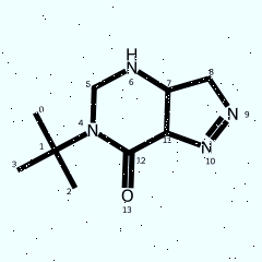 CC(C)(C)N1CNC2CN=NC2C1=O